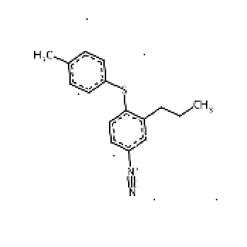 CCCc1cc([N+]#N)ccc1Sc1ccc(C)cc1